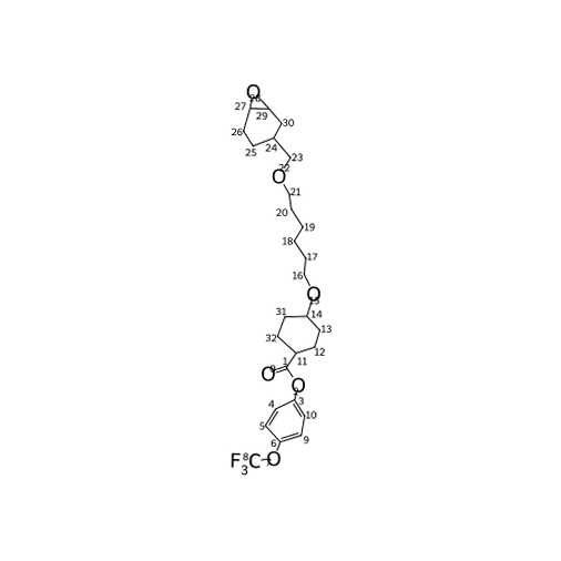 O=C(Oc1ccc(OC(F)(F)F)cc1)C1CCC(OCCCCCCOCC2CCC3OC3C2)CC1